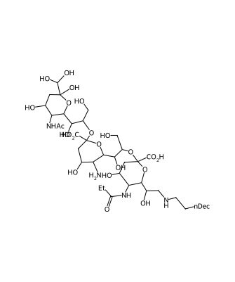 CCCCCCCCCCCCNCC(O)C1OC(OC(CO)C(O)C2OC(OC(CO)C(O)C3OC(O)(C(O)O)CC(O)C3NC(C)=O)(C(=O)O)CC(O)C2N)(C(=O)O)CC(O)C1NC(=O)CC